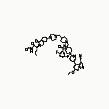 CCCC(C(=O)NC=O)N1Cc2cc(N3CCN(CC4CCN(CC5(NC(=O)c6cc(F)ccc6F)CCN(c6ccc(-c7cc(OCC)cn8ncc(C#N)c78)cn6)CC5)CC4)CC3)ccc2C1=O